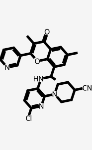 Cc1cc(C(C)Nc2ccc(Cl)nc2N2CCC(C#N)CC2)c2oc(-c3cccnc3)c(C)c(=O)c2c1